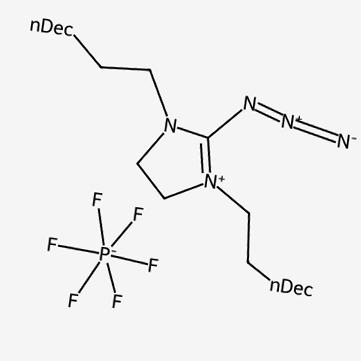 CCCCCCCCCCCCN1CC[N+](CCCCCCCCCCCC)=C1N=[N+]=[N-].F[P-](F)(F)(F)(F)F